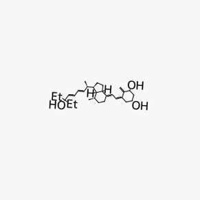 C=C1/C(=C\C=C2/CC[C@@H](C)[C@@H]3[C@@H]([C@H](C)/C=C/C=C/C(O)(CC)CC)CC[C@H]23)C[C@@H](O)C[C@@H]1O